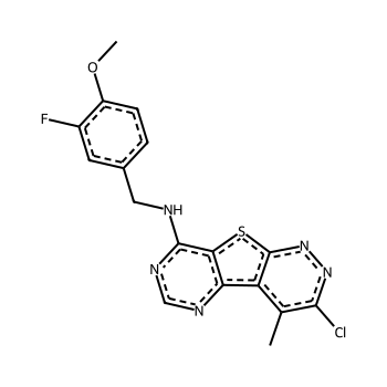 COc1ccc(CNc2ncnc3c2sc2nnc(Cl)c(C)c23)cc1F